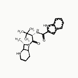 C[C@H]1C2NCCCC2N1C(=O)[C@@H](NC(=O)c1cc2ccccc2[nH]1)C(C)(C)C